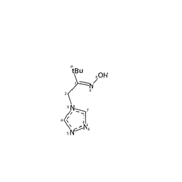 CC(C)(C)C(Cn1cnnc1)=NO